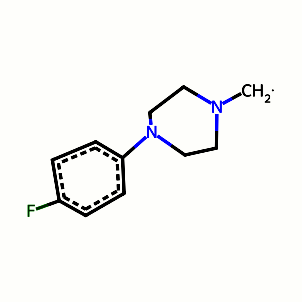 [CH2]N1CCN(c2ccc(F)cc2)CC1